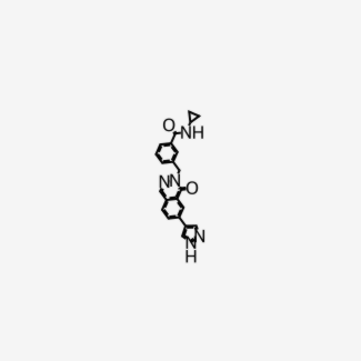 O=C(NC1CC1)c1cccc(Cn2ncc3ccc(-c4cn[nH]c4)cc3c2=O)c1